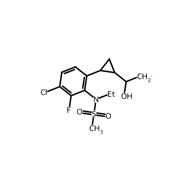 [CH2]C(O)C1CC1c1ccc(Cl)c(F)c1N(CC)S(C)(=O)=O